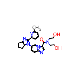 Cc1cccc(-c2nc3c(n2-c2ccc4ncc(C(=O)N(CCO)CCO)n4c2)CCC3)n1